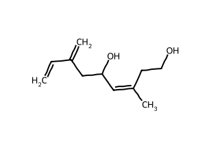 C=CC(=C)CC(O)C=C(C)CCO